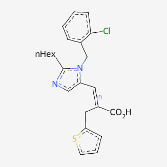 CCCCCCc1ncc(/C=C(\Cc2cccs2)C(=O)O)n1Cc1ccccc1Cl